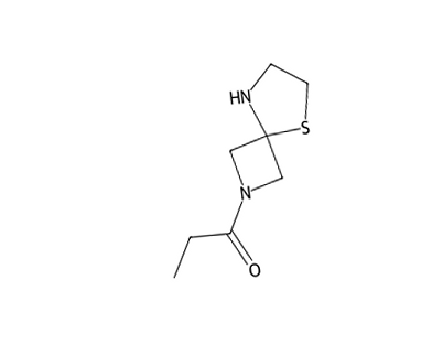 CCC(=O)N1CC2(C1)NCCS2